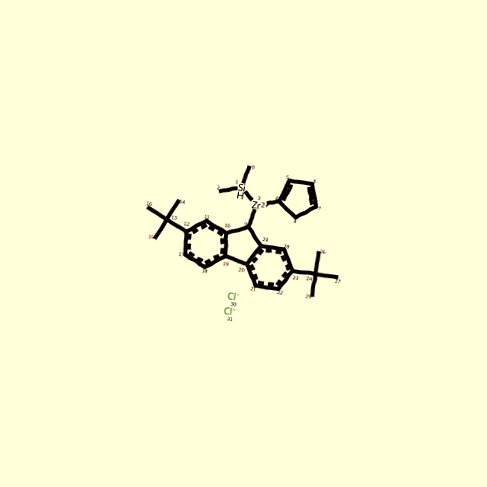 C[SiH](C)[Zr+2]([C]1=CC=CC1)[CH]1c2cc(C(C)(C)C)ccc2-c2ccc(C(C)(C)C)cc21.[Cl-].[Cl-]